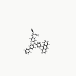 N#CC(C#N)=Cc1ccc(N(c2ccc(-c3ccncc3)cc2)c2ccc(-c3c4ccccc4cc4ccccc34)cc2)cc1